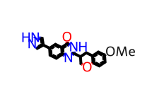 COc1ccc2c(c1)CC(c1nc3ccc(-c4cn[nH]c4)cc3c(=O)[nH]1)CO2